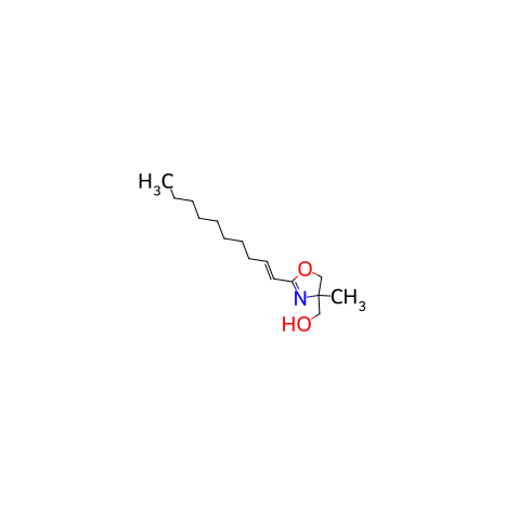 CCCCCCCCC=CC1=NC(C)(CO)CO1